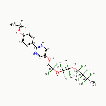 CC(C)(C)[Si](C)(C)Oc1ccc(-c2ncc(OCC(F)(F)OC(F)(F)C(F)(F)OC(F)(F)C(F)(F)C(F)(F)C(F)(F)F)cn2)cc1